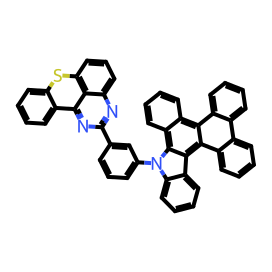 c1cc(-c2nc3c4c(cccc4n2)Sc2ccccc2-3)cc(-n2c3ccccc3c3c4c5ccccc5c5ccccc5c4c4ccccc4c32)c1